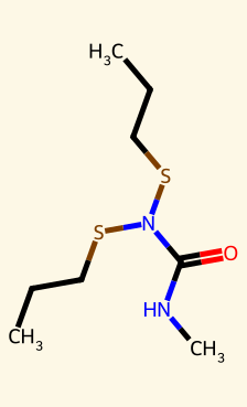 CCCSN(SCCC)C(=O)NC